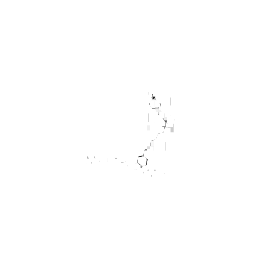 COCCCOc1cc(CCCCCCC(C(=O)NC[C@@H]2CCC(=O)N2)(C(C)C)C(C)C)ccc1OC.Cl